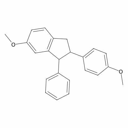 COc1ccc(C2Cc3ccc(OC)cc3C2c2ccccc2)cc1